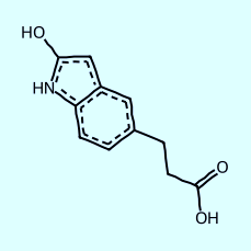 O=C(O)CCc1ccc2[nH]c(O)cc2c1